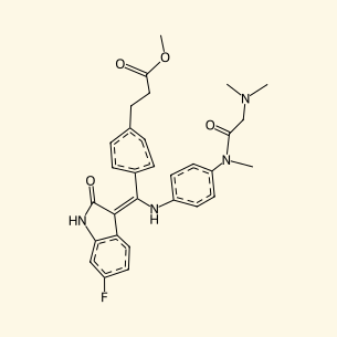 COC(=O)CCc1ccc(C(Nc2ccc(N(C)C(=O)CN(C)C)cc2)=C2C(=O)Nc3cc(F)ccc32)cc1